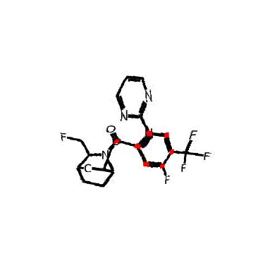 O=C(c1cc(F)ccc1-c1ncccn1)N1C(CF)C2CCC1C(Oc1ccc(C(F)(F)F)cn1)C2